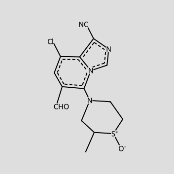 CC1CN(c2c(C=O)cc(Cl)c3c(C#N)ncn23)CC[S+]1[O-]